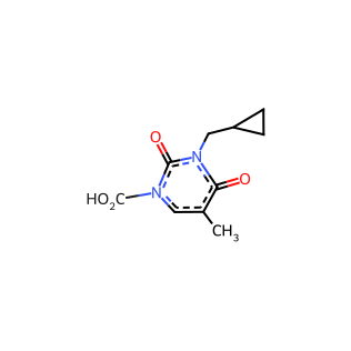 Cc1cn(C(=O)O)c(=O)n(CC2CC2)c1=O